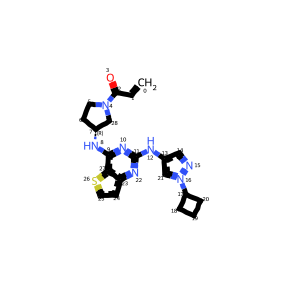 C=CC(=O)N1CC[C@@H](Nc2nc(Nc3cnn(C4CCC4)c3)nc3ccsc23)C1